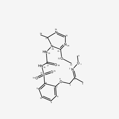 CON=C(C)COc1ccccc1S(=O)(=O)NC(=O)NN1C(OC)=NC=NC1C